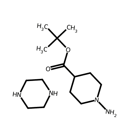 C1CNCCN1.CC(C)(C)OC(=O)C1CCN(N)CC1